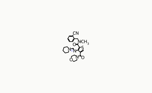 CN(Cc1ccccc1C#N)C(=O)c1scc(C(=O)N2CCOCC2)c1/N=C/N1CCCCC1